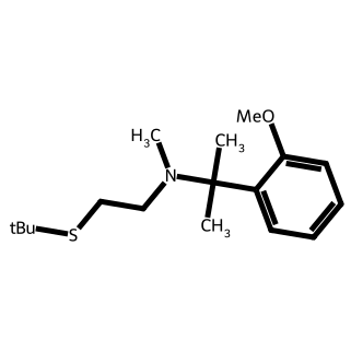 COc1ccccc1C(C)(C)N(C)CCSC(C)(C)C